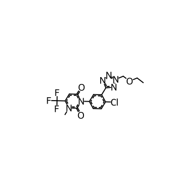 CCOCn1nnc(-c2cc(-n3c(=O)cc(C(F)(F)F)n(C)c3=O)ccc2Cl)n1